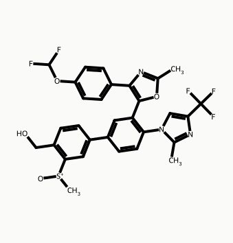 Cc1nc(-c2ccc(OC(F)F)cc2)c(-c2cc(-c3ccc(CO)c([S+](C)[O-])c3)ccc2-n2cc(C(F)(F)F)nc2C)o1